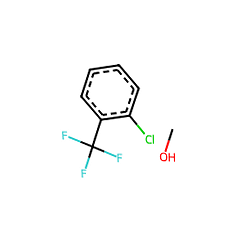 CO.FC(F)(F)c1ccccc1Cl